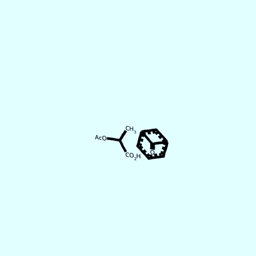 CC(=O)OC(C)C(=O)O.O=C1c2cccc1c2